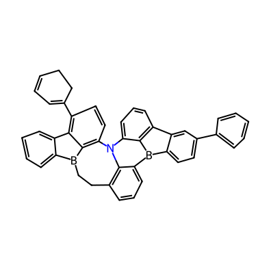 C1=CCCC(c2ccc3c4c2-c2ccccc2B4CCc2cccc4c2N3c2cccc3c2B4c2ccc(-c4ccccc4)cc2-3)=C1